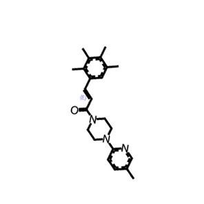 Cc1ccc(N2CCN(C(=O)/C=C/c3cc(C)c(C)c(C)c3C)CC2)nc1